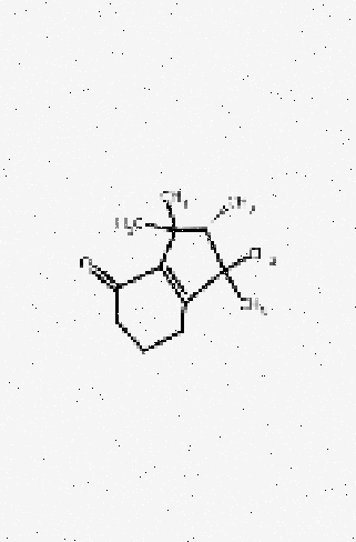 C[C@@H]1C(C)(C)C2=C(C(=O)CCC2)C1(C)C